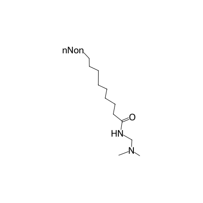 CCCCCCCCCCCCCCCCCC(=O)NCN(C)C